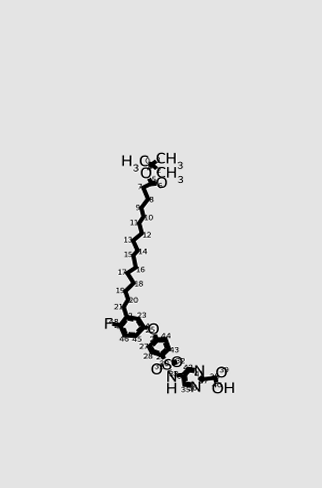 CC(C)(C)OC(=O)CCCCCCCCCCCCCCCc1cc(Oc2ccc(S(=O)(=O)Nc3cnc(C(=O)O)nc3)cc2)ccc1F